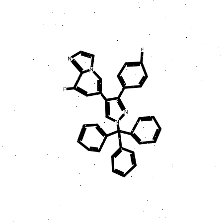 Fc1ccc(-c2nn(C(c3ccccc3)(c3ccccc3)c3ccccc3)cc2-c2cc(F)c3nccn3c2)cc1